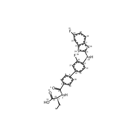 CC[C@H]([AsH]C(=O)c1ccc(-c2ccc([AsH]c3nc4ccc(F)cc4s3)c(F)c2)cc1)C(=O)O